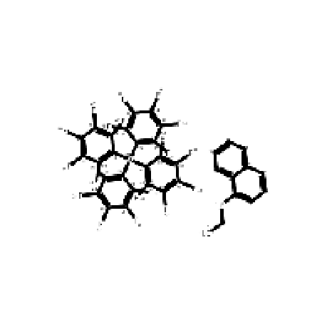 CC[I+]c1cccc2ccccc12.Fc1c(F)c(F)c([B-](c2c(F)c(F)c(F)c(F)c2F)(c2c(F)c(F)c(F)c(F)c2F)c2c(F)c(F)c(F)c(F)c2F)c(F)c1F